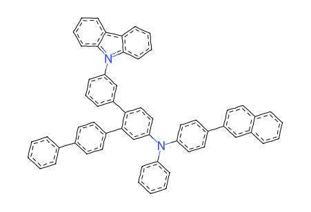 c1ccc(-c2ccc(-c3cc(N(c4ccccc4)c4ccc(-c5ccc6ccccc6c5)cc4)ccc3-c3cccc(-n4c5ccccc5c5ccccc54)c3)cc2)cc1